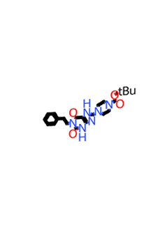 CC(C)(C)OC(=O)N1CCN(c2nc3[nH]c(=O)n(CCc4ccccc4)c(=O)c3[nH]2)CC1